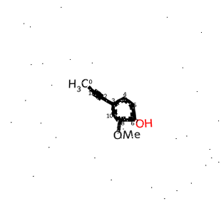 CC#Cc1ccc(O)c(OC)c1